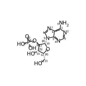 Nc1ncnc2c1ncn2[C@@H]1O[C@H](CO)[C@H](O)[C@H]1OP(=O)(O)O